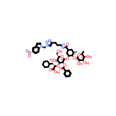 CC1O[C@@H](OC2[C@H](C)CC(C(=O)NCCCc3cn(Cn4ccc5cc([N+](=O)[O-])ccc54)nn3)C[C@H]2O[C@@H]2O[C@@H](CO)[C@H](O)C(O[C@@H](CC3CCCCC3)C(=O)O)C2OC(=O)c2ccccc2)[C@@H](O)C(O)[C@@H]1O